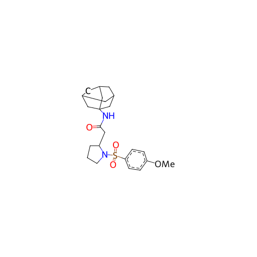 COc1ccc(S(=O)(=O)N2CCCC2CC(=O)NC23CC4CC(CC(C4)C2)C3)cc1